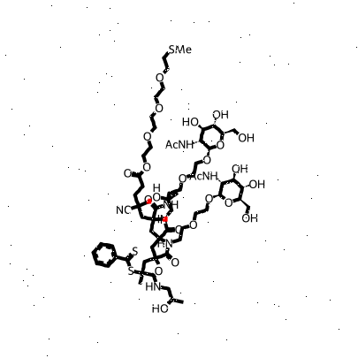 CSCCOCCOCCOCCOC(=O)CCC(C)(C#N)CC(C)(CC(C)(CC(C)(CC(C)(SC(=S)c1ccccc1)C(=O)NCC(C)O)C(=O)NCCOCCO[C@@H]1O[C@H](CO)[C@@H](O)[C@H](O)[C@H]1NC(C)=O)C(=O)NCC(C)O)C(=O)NCCOCCO[C@@H]1O[C@H](CO)[C@@H](O)[C@H](O)[C@H]1NC(C)=O